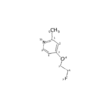 Cc1cc(OCCF)ccn1